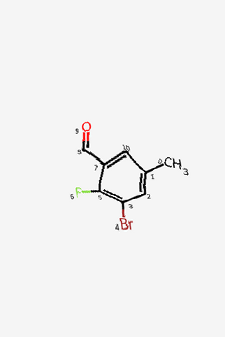 Cc1cc(Br)c(F)c(C=O)c1